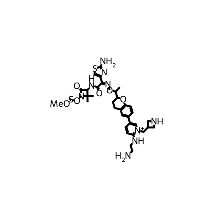 COSON1C(=O)C(NC(=O)/C(=N\OC(C)C2CCc3cc(-c4ccc(NCCN)[n+](CC5CNC5)c4)ccc3O2)c2csc(N)n2)C1(C)C